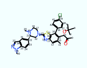 CC(=O)[C@@H](OC(C)(C)C)c1c(C)cc2nc(N3CCN(C)[C@H](c4ccc5c(cnn5C)c4)C3)sc2c1-c1ccc(Cl)cc1